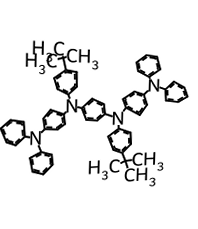 CC(C)(C)c1ccc(N(c2ccc(N(c3ccccc3)c3ccccc3)cc2)c2ccc(N(c3ccc(N(c4ccccc4)c4ccccc4)cc3)c3ccc(C(C)(C)C)cc3)cc2)cc1